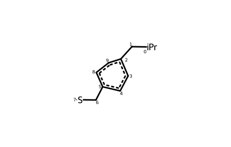 CC(C)Cc1ccc(C[S])cc1